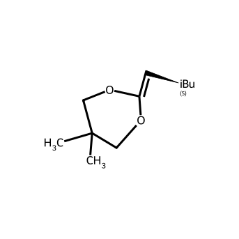 [CH2]C[C@H](C)C=C1OCC(C)(C)CO1